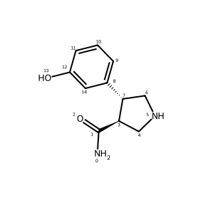 NC(=O)[C@@H]1CNC[C@H]1c1cccc(O)c1